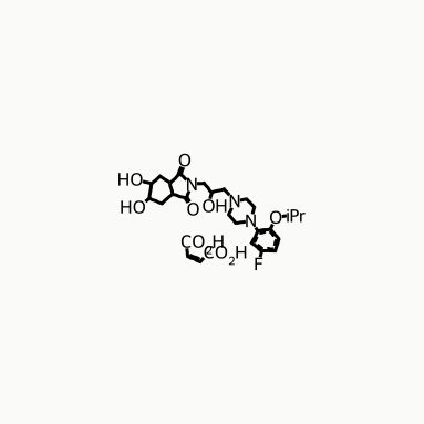 CC(C)Oc1ccc(F)cc1N1CCN(CC(O)CN2C(=O)C3CC(O)C(O)CC3C2=O)CC1.O=C(O)/C=C\C(=O)O